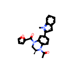 CC(=O)N1c2ccc(-c3cc4ccccc4n3C)cc2N(C(=O)c2ccco2)C[C@@H]1C